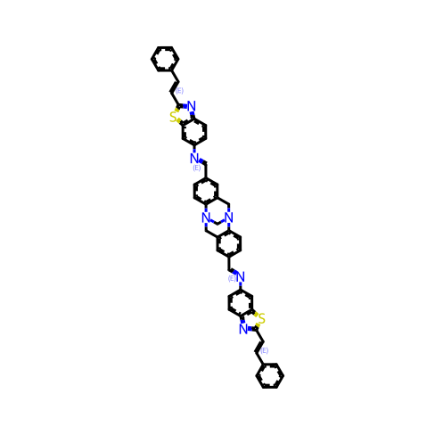 C(=C\c1nc2ccc(/N=C/c3ccc4c(c3)CN3CN4Cc4cc(/C=N/c5ccc6nc(/C=C/c7ccccc7)sc6c5)ccc43)cc2s1)/c1ccccc1